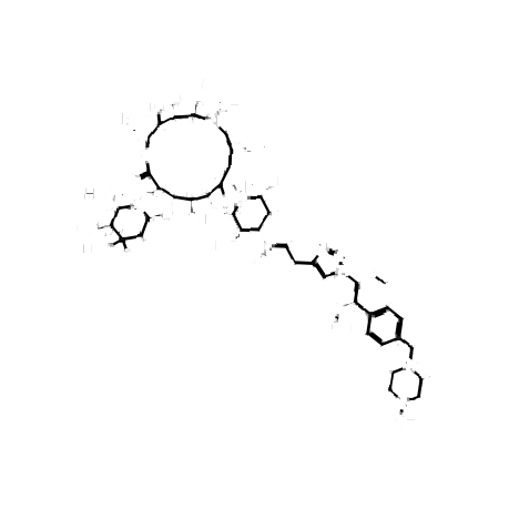 CO[C@H](c1ccc(CN2CCN(C)CC2)cc1)[C@@H](CF)n1cc(CCN(C)[C@H]2C[C@@H](C)O[C@@H](O[C@@H]3[C@@H](C)[C@H](O[C@H]4CC(C)(C)[C@@H](O)[C@H](C)O4)[C@@H](C)C(=O)O[C@H](I)[C@@](C)(O)[C@H](O)[C@@H](C)N(C)C[C@H](C)C[C@@]3(C)O)[C@@H]2O)nn1